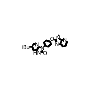 CCC(C)c1cnc2c(c1)[nH]c(=O)n2-c1ccc(Oc2nc3cccnc3n2C)cc1